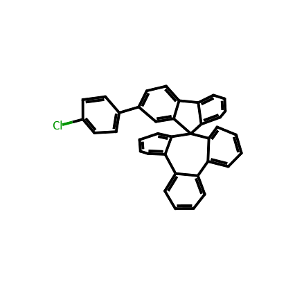 Clc1ccc(-c2ccc3c(c2)C2(c4ccccc4-c4ccccc4-c4ccccc42)c2ccccc2-3)cc1